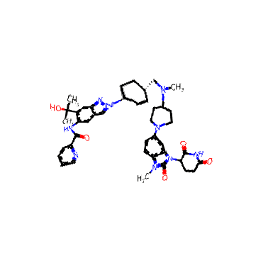 CN(C[C@H]1CC[C@H](n2cc3cc(NC(=O)c4ccccn4)c(C(C)(C)O)cc3n2)CC1)C1CCN(c2ccc3c(c2)n(C2CCC(=O)NC2=O)c(=O)n3C)CC1